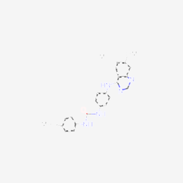 COc1ccc(NC(=O)Nc2ccc(Nc3ncnc4cc(OC)c(OC)cc34)cc2)cc1